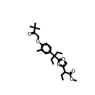 CCC(C(=O)OC)c1coc(C(CC)(CC)c2ccc(OCC(=O)C(C)(C)C)c(C)c2)n1